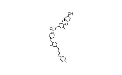 Cc1ccc(OCC=Cc2ccc(CN3CCN(C(=O)C=Cc4cc(C)c(Oc5ccc(O)cn5)c(C)c4)CC3)c(C)c2)cc1